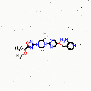 CO[C@H](C)c1nc(N2CCN(c3ncc(OCc4ccncc4N)cn3)[C@H](C)C2)no1